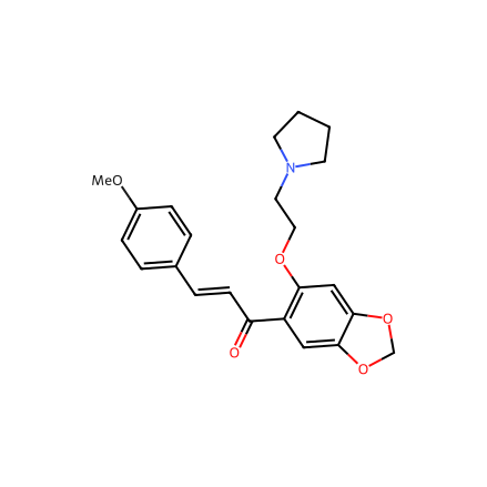 COc1ccc(C=CC(=O)c2cc3c(cc2OCCN2CCCC2)OCO3)cc1